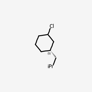 CC(C)C[C@@H]1CCCC(Cl)C1